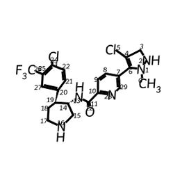 CN1NCC(Cl)=C1c1ccc(C(=O)N[C@@H]2CNCC[C@H]2c2ccc(Cl)c(C(F)(F)F)c2)nc1